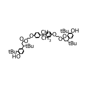 CC(C)(C)c1cc(C(CC(=O)OCCOc2ccc(C(C)(C)c3ccc(OCCOC(=O)CC(c4ccc(O)c(C(C)(C)C)c4)C(C)(C)C)cc3)cc2)C(C)(C)C)ccc1O